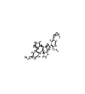 COc1ccc(C)c(-c2nc(C3CCCN3C(=O)c3ccc(C)cc3-n3nccn3)no2)c1